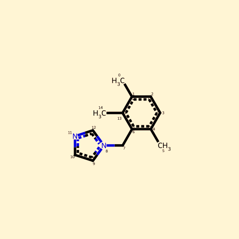 Cc1ccc(C)c(Cn2ccnc2)c1C